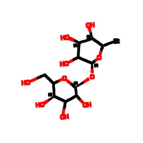 CCC1O[C@H](O[C@H]2OC(CO)[C@@H](O)C(O)C2O)C(O)[C@@H](O)[C@@H]1O